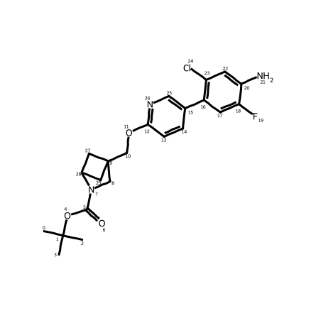 CC(C)(C)OC(=O)N1CC2(COc3ccc(-c4cc(F)c(N)cc4Cl)cn3)CC1C2